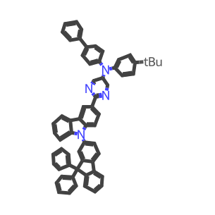 CC(C)(C)c1ccc(N(c2ccc(-c3ccccc3)cc2)C2C=NC(c3ccc4c(c3)c3ccccc3n4-c3ccc4c(c3)C(c3ccccc3)(c3ccccc3)c3ccccc3-4)=NC2)cc1